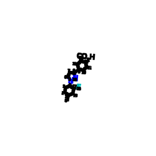 Cc1ccc(-n2ccc(-c3cccc(C(=O)O)c3)n2)c(F)c1